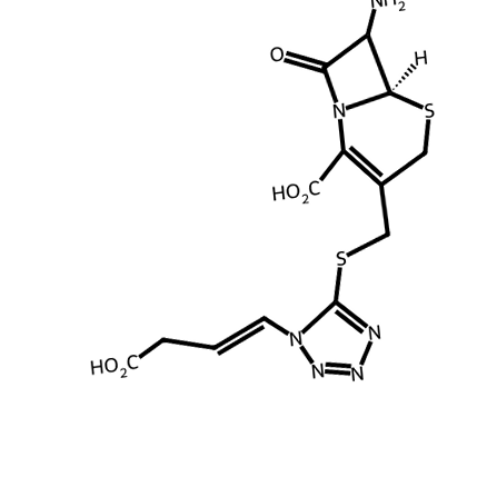 NC1C(=O)N2C(C(=O)O)=C(CSc3nnnn3/C=C/CC(=O)O)CS[C@H]12